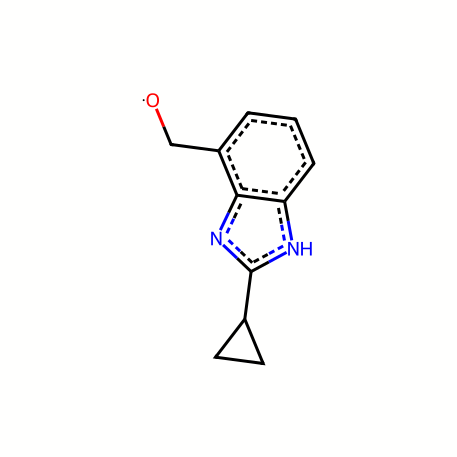 [O]Cc1cccc2[nH]c(C3CC3)nc12